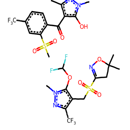 Cc1nn(C)c(O)c1C(=O)c1ccc(C(F)(F)F)cc1S(C)(=O)=O.Cn1nc(C(F)(F)F)c(CS(=O)(=O)C2=NOC(C)(C)C2)c1OC(F)F